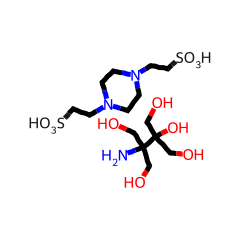 NC(CO)(CO)C(O)(CO)CO.O=S(=O)(O)CCN1CCN(CCS(=O)(=O)O)CC1